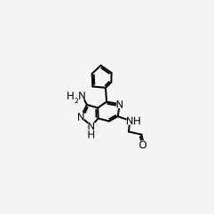 Nc1n[nH]c2cc(NCC=O)nc(-c3ccccc3)c12